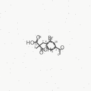 CC(=O)c1ccc(CC(C)(C(=O)O)C(=O)O)c(Br)c1